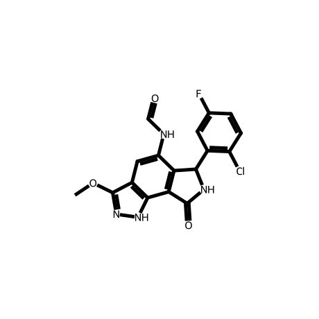 COc1n[nH]c2c3c(c(NC=O)cc12)C(c1cc(F)ccc1Cl)NC3=O